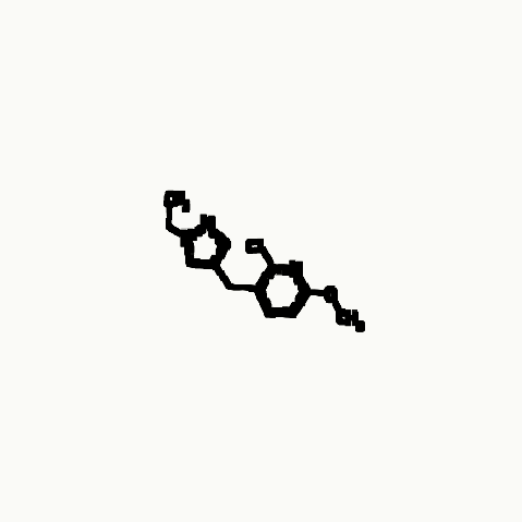 CCn1cc(Cc2ccc(OC)nc2Cl)cn1